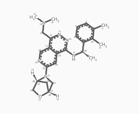 Cc1cccc([C@@H](C)Nc2nnc(CN(C)C)c3cnc(N4C[C@H]5C[C@@H]4CO5)cc23)c1C